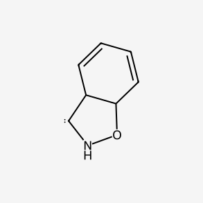 [C]1NOC2C=CC=CC12